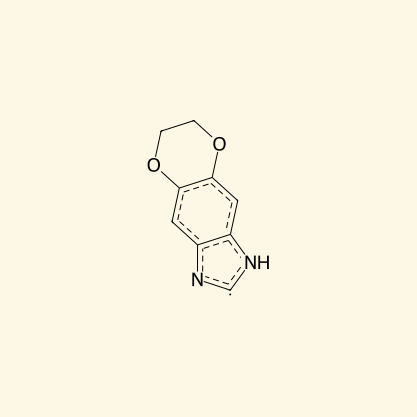 [c]1nc2cc3c(cc2[nH]1)OCCO3